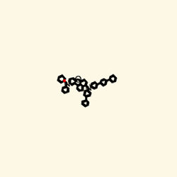 c1ccc(-c2ccc(-c3ccc(N(c4ccc(-c5ccccc5)cc4)c4ccc5c6c(cccc46)-c4cc(N(c6ccccc6)c6ccccc6)ccc4O5)cc3)cc2)cc1